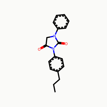 CCCc1ccc(N2C(=O)CN(c3ccccc3)C2=O)cc1